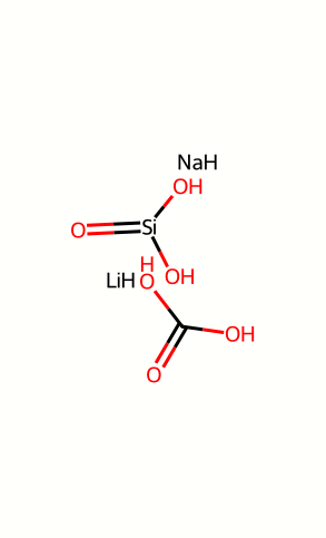 O=C(O)O.O=[Si](O)O.[LiH].[NaH]